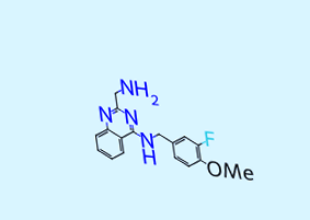 COc1ccc(CNc2nc(CN)nc3ccccc23)cc1F